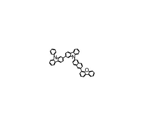 c1ccc(-n2c3ccccc3c3ccc(-c4ccc5c6ccccc6n(-c6ccc7cc(-c8cccc9c8oc8ccccc89)ccc7c6)c5c4)cc32)cc1